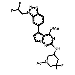 COc1nc(NC2CN(C(C)=O)CC(F)(F)C2)nn2ccc(-c3ccc4nnn(CC(F)F)c4c3)c12